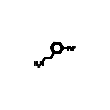 NCCc1ccc[c]([Pd+])c1